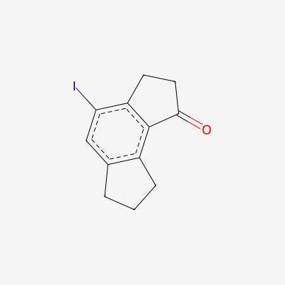 O=C1CCc2c(I)cc3c(c21)CCC3